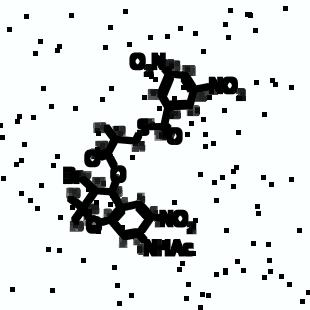 CC(=O)Nc1cc2c(cc1[N+](=O)[O-])C(OC(=O)C(C)CSC(=O)c1cc([N+](=O)[O-])cc([N+](=O)[O-])c1)C(Br)C(C)(C)O2